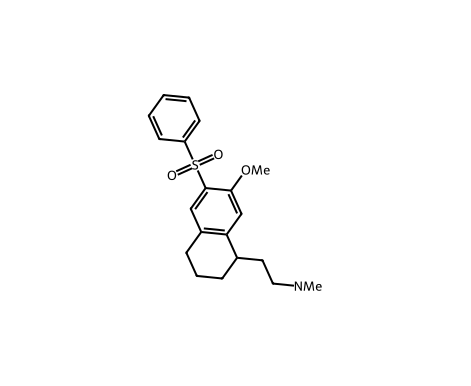 CNCCC1CCCc2cc(S(=O)(=O)c3ccccc3)c(OC)cc21